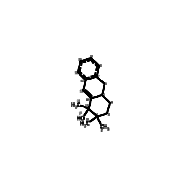 CC1(C)CCC2Cc3ccccc3C=C2C1(C)O